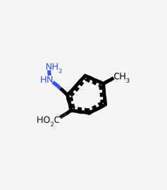 Cc1ccc(C(=O)O)c(NN)c1